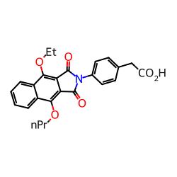 CCCOc1c2c(c(OCC)c3ccccc13)C(=O)N(c1ccc(CC(=O)O)cc1)C2=O